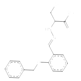 CC(=O)C(CO)NN=Cc1ccccc1OCc1ccccc1